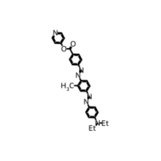 CCN(CC)c1ccc(N=Nc2ccc(N=Nc3ccc(C(=O)Oc4ccncc4)cc3)c(C)c2)cc1